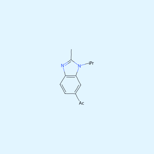 CC(=O)c1ccc2nc(C)n(C(C)C)c2c1